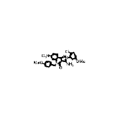 COc1ccc(Cn2c(=O)c3c(N)n(-c4cc(OC)ccc4Cl)nc3c3ccc([N+](=O)[O-])cc32)cc1